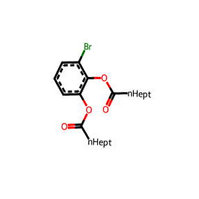 CCCCCCCC(=O)Oc1cccc(Br)c1OC(=O)CCCCCCC